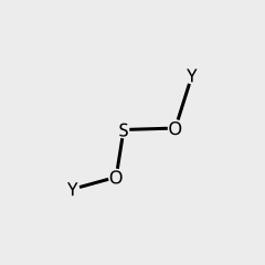 [Y][O]S[O][Y]